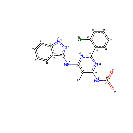 Cc1c(Nc2n[nH]c3ccccc23)nc(-c2ccccc2Cl)nc1N[SH](=O)=O